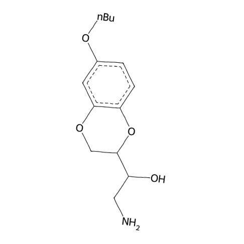 CCCCOc1ccc2c(c1)OCC(C(O)CN)O2